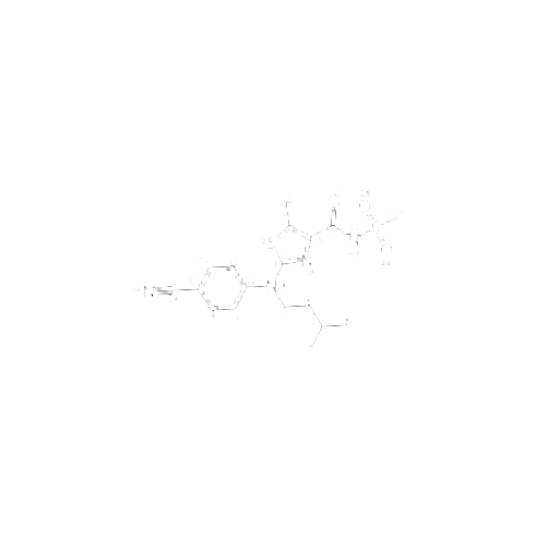 Cc1sc(N(CCC(C)C)c2ccc(C#N)cc2)nc1C(=O)NS(C)(=O)=O